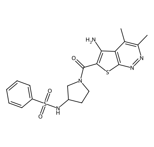 Cc1nnc2sc(C(=O)N3CCC(NS(=O)(=O)c4ccccc4)C3)c(N)c2c1C